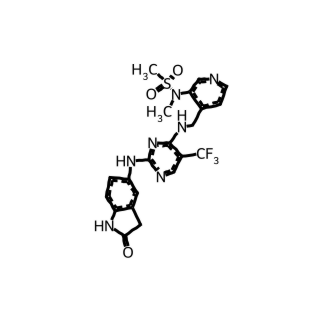 CN(c1cnccc1CNc1nc(Nc2ccc3c(c2)CC(=O)N3)ncc1C(F)(F)F)S(C)(=O)=O